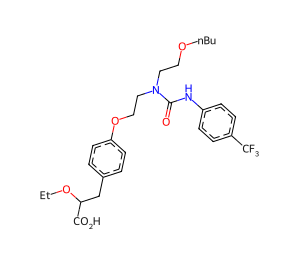 CCCCOCCN(CCOc1ccc(CC(OCC)C(=O)O)cc1)C(=O)Nc1ccc(C(F)(F)F)cc1